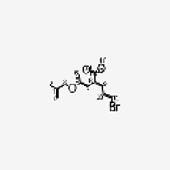 C=C(C)CO/C(C)=C/C(=C\C=C\Br)C(=O)OC